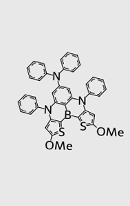 COc1cc2c(s1)B1c3sc(OC)cc3N(c3ccccc3)c3cc(N(c4ccccc4)c4ccccc4)cc(c31)N2c1ccccc1